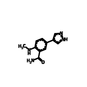 CNc1ccc(-c2cn[nH]c2)cc1C(N)=O